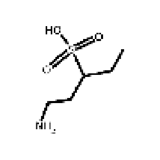 CCC(CCN)S(=O)(=O)O